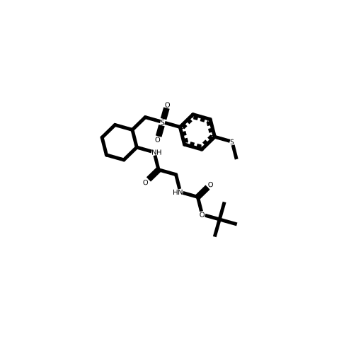 CSc1ccc(S(=O)(=O)CC2CCCCC2NC(=O)CNC(=O)OC(C)(C)C)cc1